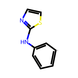 [c]1cccc(Nc2nccs2)c1